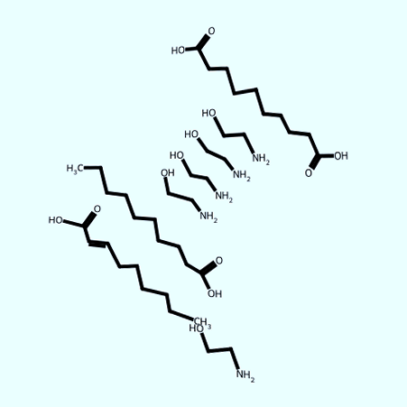 CCCCCCC=CC(=O)O.CCCCCCCCCC(=O)O.NCCO.NCCO.NCCO.NCCO.NCCO.O=C(O)CCCCCCCCC(=O)O